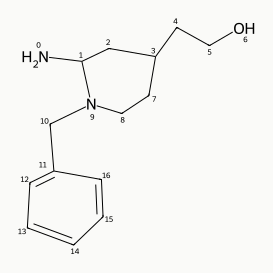 NC1CC(CCO)CCN1Cc1ccccc1